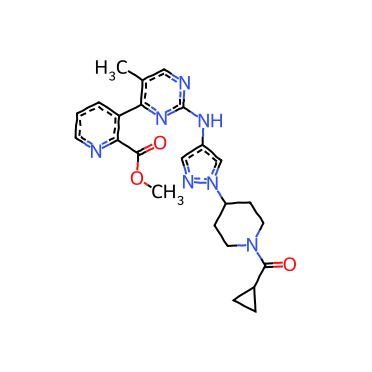 COC(=O)c1ncccc1-c1nc(Nc2cnn(C3CCN(C(=O)C4CC4)CC3)c2)ncc1C